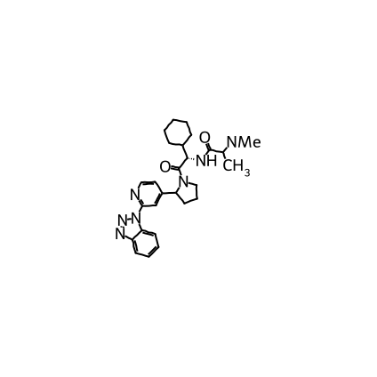 CNC(C)C(=O)N[C@H](C(=O)N1CCCC1c1ccnc(-n2nnc3ccccc32)c1)C1CCCCC1